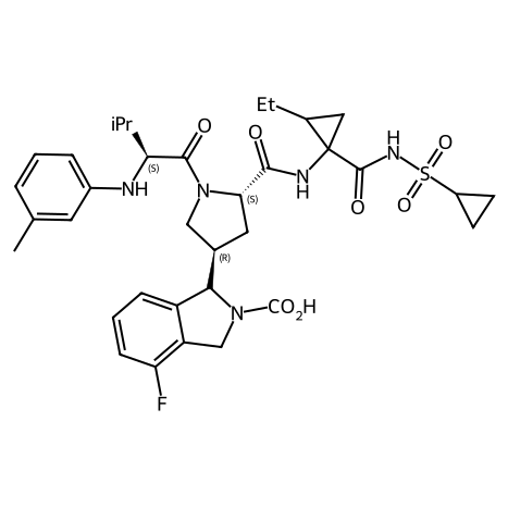 CCC1CC1(NC(=O)[C@@H]1C[C@@H](C2c3cccc(F)c3CN2C(=O)O)CN1C(=O)[C@@H](Nc1cccc(C)c1)C(C)C)C(=O)NS(=O)(=O)C1CC1